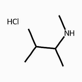 CNC(C)C(C)C.Cl